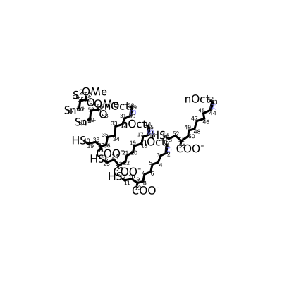 CCCCCCCC/C=C\CCCCCCC(CCS)C(=O)[O-].CCCCCCCC/C=C\CCCCCCC(CCS)C(=O)[O-].CCCCCCCC/C=C\CCCCCCC(CCS)C(=O)[O-].CCCCCCCC/C=C\CCCCCCC(CCS)C(=O)[O-].COC(=O)C[CH2][Sn+3].COC(=O)C[CH2][Sn+3].[S-2]